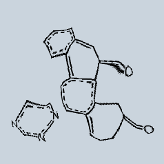 O=C1CC=c2ccc3c(c2C1)C(=O)C=c1ccccc1=3.c1cnncn1